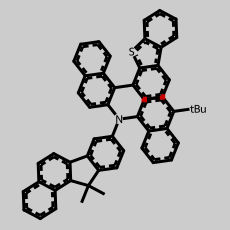 CC(C)(C)c1ccc(N(c2ccc3c(c2)-c2ccc4ccccc4c2C3(C)C)c2ccc3ccccc3c2-c2cccc3c2sc2ccccc23)c2ccccc12